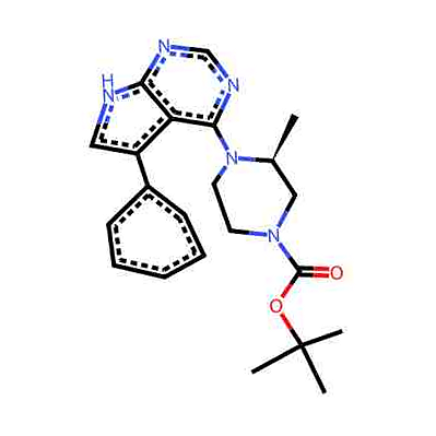 C[C@H]1CN(C(=O)OC(C)(C)C)CCN1c1ncnc2[nH]cc(-c3ccccc3)c12